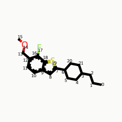 CCCC1CCC(c2cc3ccc(COC)c(F)c3s2)CC1